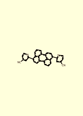 N#Cc1ccnc(-c2ccc3c4cccc5c(-c6cc(C#N)ccn6)ccc(c6cccc2c63)c54)c1